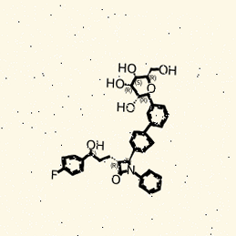 O=C1[C@H](CC[C@H](O)c2ccc(F)cc2)[C@@H](c2ccc(-c3cccc(C4O[C@H](CO)[C@@H](O)[C@H](O)[C@H]4O)c3)cc2)N1c1ccccc1